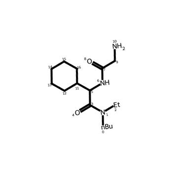 CCCCN(CC)C(=O)C(NC(=O)CN)C1CCCCC1